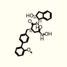 COc1ccccc1-c1ccc(C[C@H](CC(=O)NO)C(=O)N[C@H]2c3ccccc3C[C@H]2O)cc1